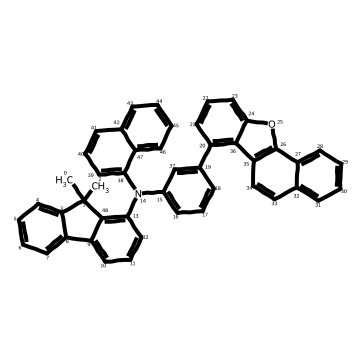 CC1(C)c2ccccc2-c2cccc(N(c3cccc(-c4cccc5oc6c7ccccc7ccc6c45)c3)c3cccc4ccccc34)c21